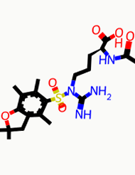 CC(=O)N[C@@H](CCCN(C(=N)N)S(=O)(=O)c1c(C)c(C)c2c(c1C)CC(C)(C)O2)C(=O)O